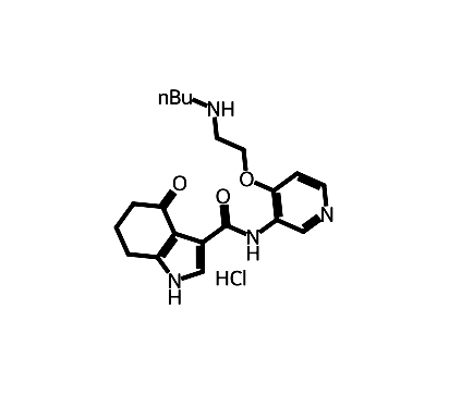 CCCCNCCOc1ccncc1NC(=O)c1c[nH]c2c1C(=O)CCC2.Cl